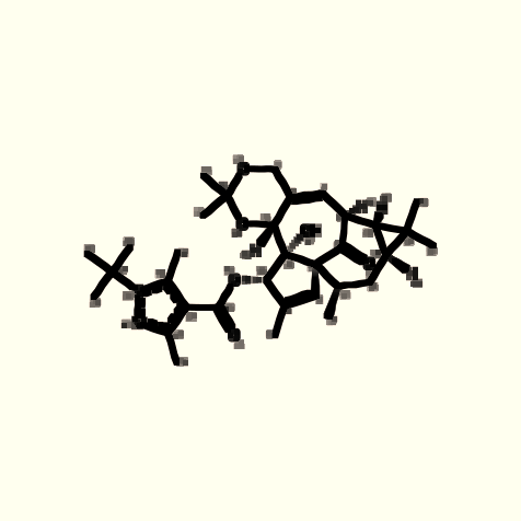 CC1=C[C@]23C(=O)[C@@H](C=C4COC(C)(C)O[C@H]4[C@]2(O)[C@H]1OC(=O)c1c(C)nn(C(C)(C)C)c1C)[C@H]1[C@@H](C[C@H]3C)C1(C)C